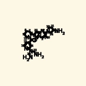 Cc1cn2nc([C@@H]3CCCCN3C(=O)c3ccnc(N(CN)CN)c3)cc2nc1N1CC[C@H](N)C1